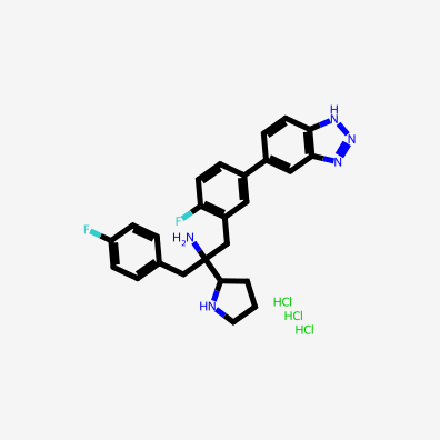 Cl.Cl.Cl.NC(Cc1ccc(F)cc1)(Cc1cc(-c2ccc3[nH]nnc3c2)ccc1F)C1CCCN1